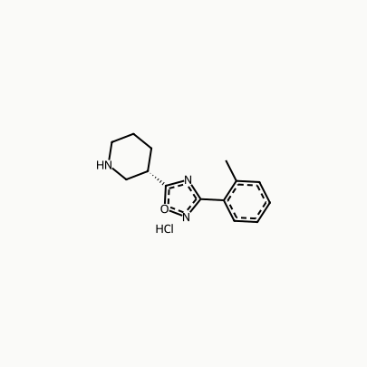 Cc1ccccc1-c1noc([C@H]2CCCNC2)n1.Cl